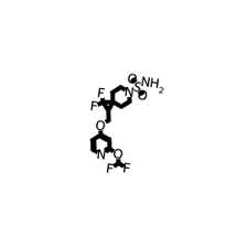 NS(=O)(=O)N1CCC2(CC1)C(COc1ccnc(OC(F)F)c1)C2(F)F